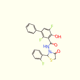 O=C(NN1C(=O)CSC1c1ccccc1F)c1c(O)c(F)cc(-c2ccccc2)c1F